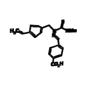 C=Cc1ccc(CN(N=Cc2ccc(C(=O)O)cc2)C(=S)NC)cc1